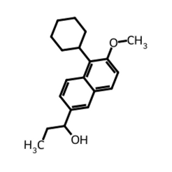 CCC(O)c1ccc2c(C3CCCCC3)c(OC)ccc2c1